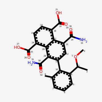 COC(C)c1cccc(C)c1-c1cc(C(N)=O)c2c(C(=O)O)ccc(C(=O)O)c2c1C(N)=O